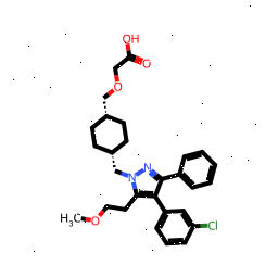 COCCc1c(-c2cccc(Cl)c2)c(-c2ccccc2)nn1C[C@H]1CC[C@@H](COCC(=O)O)CC1